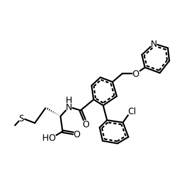 CSCC[C@H](NC(=O)c1ccc(COc2cccnc2)cc1-c1ccccc1Cl)C(=O)O